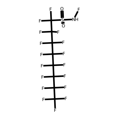 O=S(=O)(NF)C(F)(F)C(F)(F)C(F)(F)C(F)(F)C(F)(F)C(F)(F)C(F)(F)C(F)(F)F